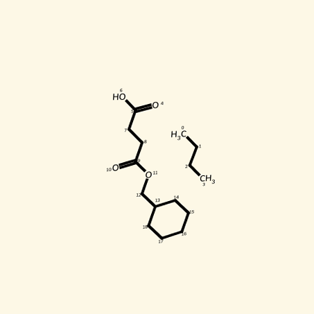 CCCC.O=C(O)CCC(=O)OCC1CCCCC1